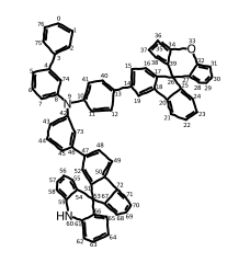 c1ccc(-c2cccc(N(c3ccc(-c4ccc5c(c4)-c4ccccc4C54c5ccccc5Oc5ccccc54)cc3)c3cccc(-c4ccc5c(c4)C4(c6ccccc6Nc6ccccc64)c4ccccc4-5)c3)c2)cc1